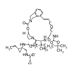 C=C[C@@H]1C[C@@]1(CN[S+]([O-])C1CC1)NC(=O)[C@@H]1C[C@@H]2CN1C(=O)[C@H](C(C)(C)C)NC(=O)[C@@H](NC(=O)OC(C)(C)C)COC/C=C/c1cccc3c1CN(C3)C(=O)O2